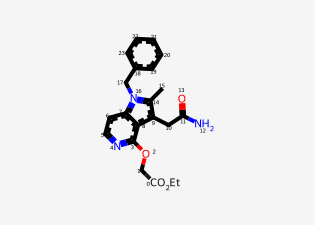 CCOC(=O)COc1nccc2c1c(CC(N)=O)c(C)n2Cc1ccccc1